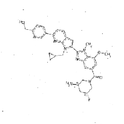 COc1cc(C(=O)N2C[C@H](N)C[C@@H](F)C2)cc2nc(-c3cc4ccc(-c5ccc(CO)nc5)nc4n3CC3CC3)n(C)c12